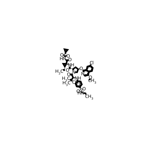 C=C[C@@H]1C[C@]1(NC(=O)[C@@H]1C[C@@H](Oc2ncc(OC)c3ccc(Cl)cc23)CN1C(=O)[C@@H](Nc1ccc(S(=O)(=O)NCC)cc1)C(C)(C)C)C(=O)NS(=O)(=O)C1CC1